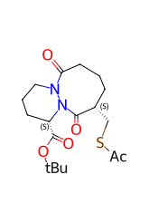 CC(=O)SC[C@H]1CCCC(=O)N2CCC[C@@H](C(=O)OC(C)(C)C)N2C1=O